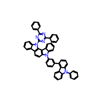 c1ccc(-c2nc(-c3ccccc3)nc(-n3c4ccccc4c4ccc5c(c6ccccc6n5-c5cccc(-c6cccc7c6c6ccccc6n7-c6ccccc6)c5)c43)n2)cc1